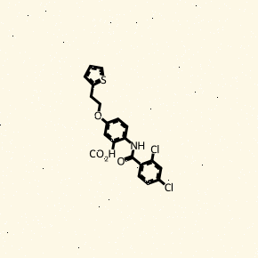 O=C(Nc1ccc(OCCc2cccs2)cc1C(=O)O)c1ccc(Cl)cc1Cl